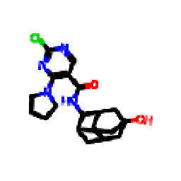 O=C(NC1C2CC3CC1CC(O)(C3)C2)c1cnc(Cl)nc1N1CCCC1